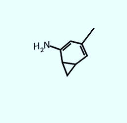 CC1=CC2CC2C(N)=C1